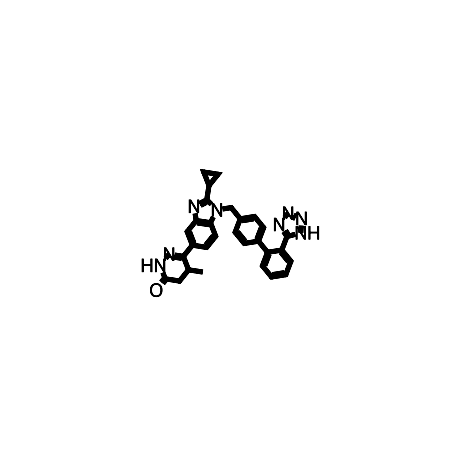 CC1CC(=O)NN=C1c1ccc2c(c1)nc(C1CC1)n2Cc1ccc(-c2ccccc2-c2nnn[nH]2)cc1